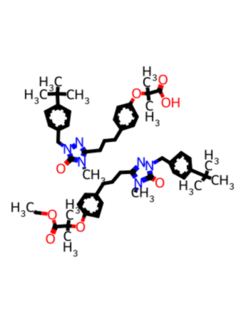 CCOC(=O)C(C)(C)Oc1ccc(CCCc2nn(Cc3ccc(C(C)(C)C)cc3)c(=O)n2C)cc1.Cn1c(CCCc2ccc(OC(C)(C)C(=O)O)cc2)nn(Cc2ccc(C(C)(C)C)cc2)c1=O